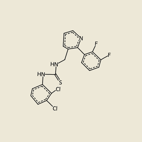 Fc1cccc(-c2ncccc2CNC(=S)Nc2cccc(Cl)c2Cl)c1F